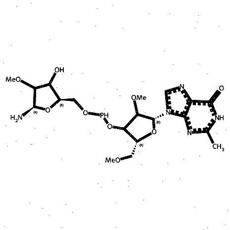 COC[C@H]1O[C@@H](n2cnc3c(=O)[nH]c(C)nc32)C(OC)C1OPOC[C@H]1O[C@@H](N)C(OC)C1O